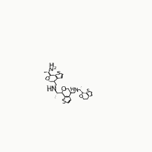 C[C@H](NCC1CO[C@@H]([C@@H](C)N)c2sccc21)[C@H]1OCC(CN[C@H](C)[C@@H]2OCCc3ccsc32)c2ccsc21